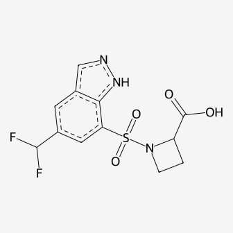 O=C(O)C1CCN1S(=O)(=O)c1cc(C(F)F)cc2cn[nH]c12